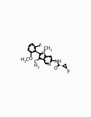 COc1cccc(F)c1-c1c(C)c2cnc(NC(=O)[C@@H]3C[C@@H]3F)cc2n1C